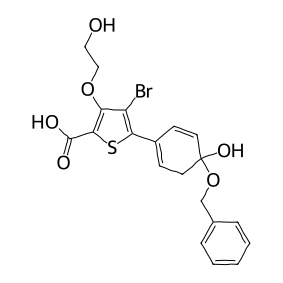 O=C(O)c1sc(C2=CCC(O)(OCc3ccccc3)C=C2)c(Br)c1OCCO